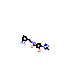 COc1cc(C(=O)NCCc2cccc(N)c2)ccc1-n1cnc(C)c1